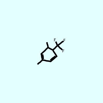 CC1=CC(C)C(C(F)(F)F)C=C1